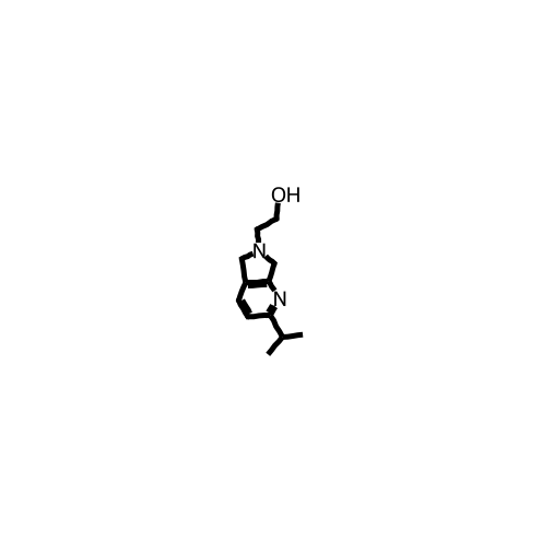 CC(C)c1ccc2c(n1)CN(CCO)C2